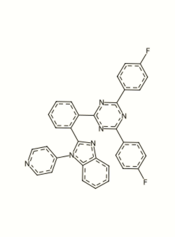 Fc1ccc(-c2nc(-c3ccc(F)cc3)nc(-c3ccccc3-c3nc4ccccc4n3-c3ccncc3)n2)cc1